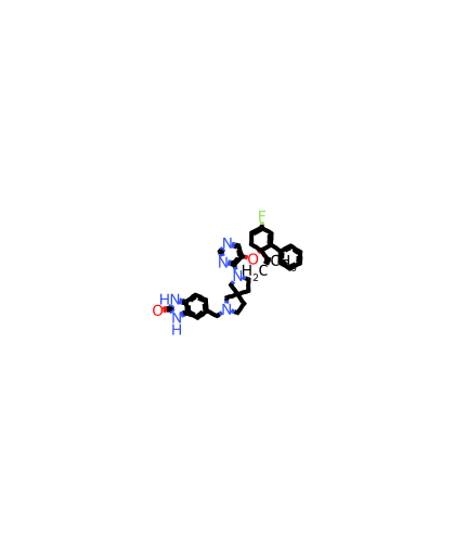 C=C(C)C1(Oc2cncnc2N2CCC3(CCN(Cc4ccc5[nH]c(=O)[nH]c5c4)C3)C2)CC=C(F)C=C1c1ccccc1